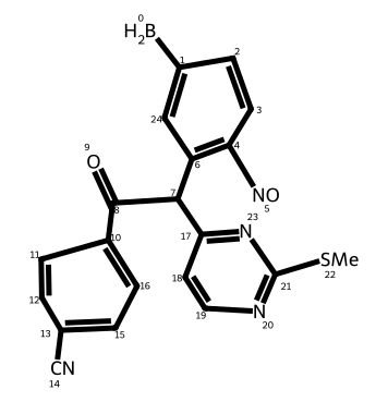 Bc1ccc(N=O)c(C(C(=O)c2ccc(C#N)cc2)c2ccnc(SC)n2)c1